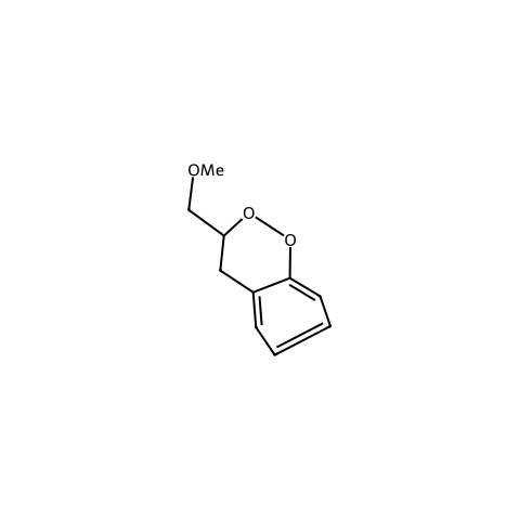 COCC1Cc2ccccc2OO1